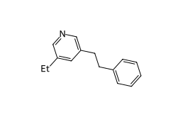 CCc1cncc(CCc2ccccc2)c1